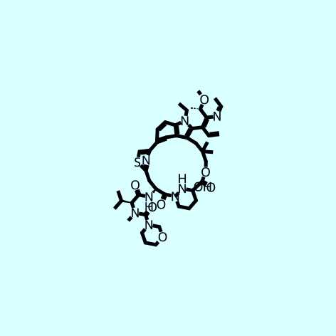 C=C/C(=C(\N=C/C)[C@H](C)OC)c1c2c3cc(ccc3n1CC)-c1csc(n1)C[C@H](NC(=O)[C@H](C(C)C)N(C)C(=O)N1CCCOC1)C(=O)N1CCC[C@@](O)(N1)C(=O)OCC(C)(C)C2